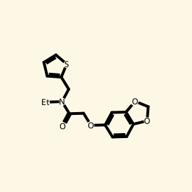 CCN(Cc1cccs1)C(=O)COc1ccc2c(c1)OCO2